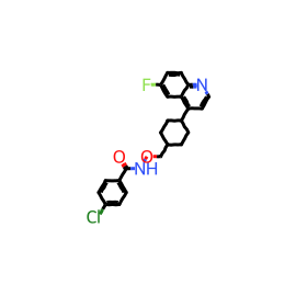 O=C(NOCC1CCC(c2ccnc3ccc(F)cc23)CC1)c1ccc(Cl)cc1